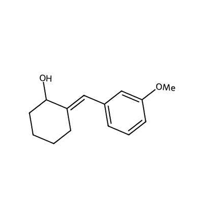 COc1cccc(/C=C2\CCCCC2O)c1